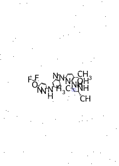 C#CC(=N)/C=C(/C)Nc1nc(-n2cnc3cc(Nc4ccc(OC(F)F)nn4)ccc32)ccc1C(C)O